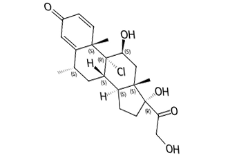 C[C@H]1C[C@H]2[C@@H]3CC[C@](O)(C(=O)CO)[C@@]3(C)C[C@H](O)[C@]2(Cl)[C@@]2(C)C=CC(=O)C=C12